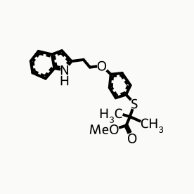 COC(=O)C(C)(C)Sc1ccc(OCCc2cc3ccccc3[nH]2)cc1